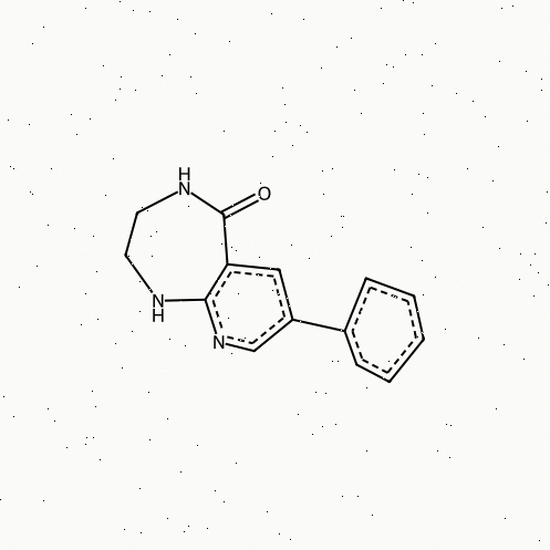 O=C1NCCNc2ncc(-c3ccccc3)cc21